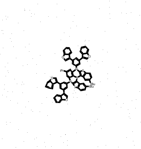 CC(C)c1cc2c3c(c1)N(c1cc(-c4coc5ccccc45)cc(-c4coc5ccccc45)c1)c1sc4ccc(C(C)(C)C)cc4c1B3c1c(sc3ccc(C(C)(C)C)cc13)N2c1cc(-c2coc3ccccc23)cc(-c2coc3ccccc23)c1